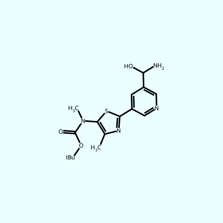 Cc1nc(-c2cncc(C(N)O)c2)sc1N(C)C(=O)OC(C)(C)C